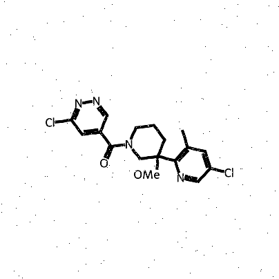 COC1(c2ncc(Cl)cc2C)CCCN(C(=O)c2cnnc(Cl)c2)C1